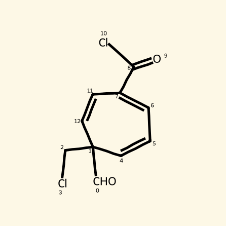 O=CC1(CCl)C=CC=C(C(=O)Cl)C=C1